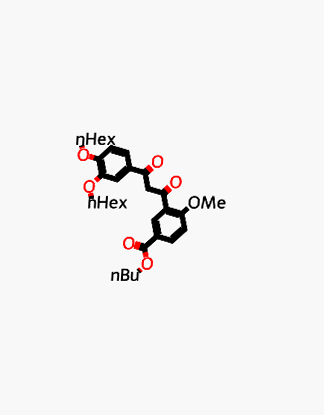 CCCCCCOc1ccc(C(=O)CC(=O)c2cc(C(=O)OCCCC)ccc2OC)cc1OCCCCCC